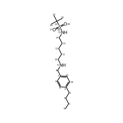 CCCCc1ccc(CNCCCCCNS(=O)(=O)C(C)(C)C)cc1